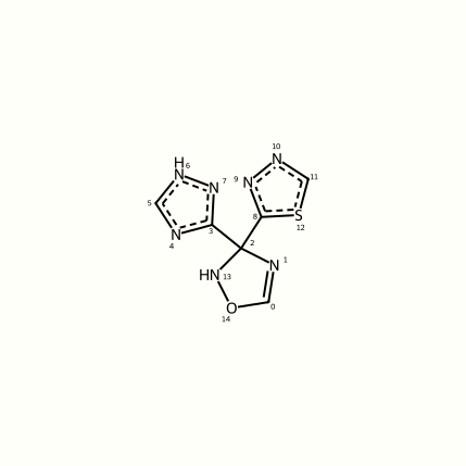 C1=NC(c2nc[nH]n2)(c2nncs2)NO1